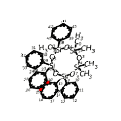 C[Si]1(C)O[Si](C)(C)O[Si](c2ccccc2)(c2ccccc2)O[Si](c2ccccc2)(c2ccccc2)O[Si](C)(c2ccccc2)O1